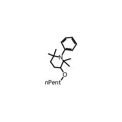 CCCCCOC1CCC(C)(C)N(c2ccccc2)C1(C)C